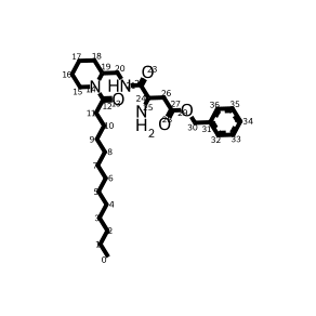 CCCCCCCCCCCCC(=O)N1CCCCC1CNC(=O)C(N)CC(=O)OCc1ccccc1